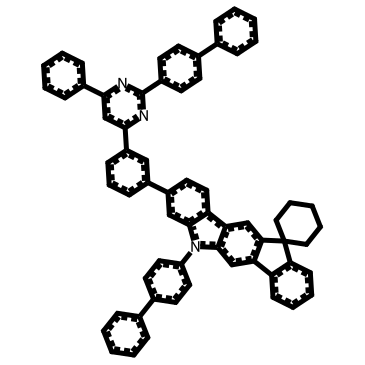 c1ccc(-c2ccc(-c3nc(-c4ccccc4)cc(-c4cccc(-c5ccc6c7cc8c(cc7n(-c7ccc(-c9ccccc9)cc7)c6c5)-c5ccccc5C85CCCCC5)c4)n3)cc2)cc1